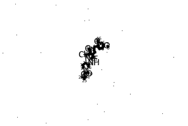 COc1ccc(CN2Cc3c(F)c(N[C@@H]4CCCN(C(=O)OC(C)(C)C)C4)nc(Cl)c3C2=O)c(OC)c1